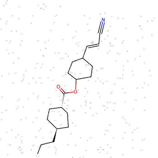 CCC[C@H]1CC[C@H](C(=O)OC2CCC(/C=C/C#N)CC2)CC1